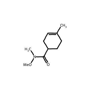 CON(C)C(=O)C1CC=C(C)CC1